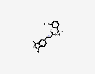 Cc1n[nH]c2ccc(/C=C/C(=O)N[C@@H](C)c3cccc(O)c3)cc12